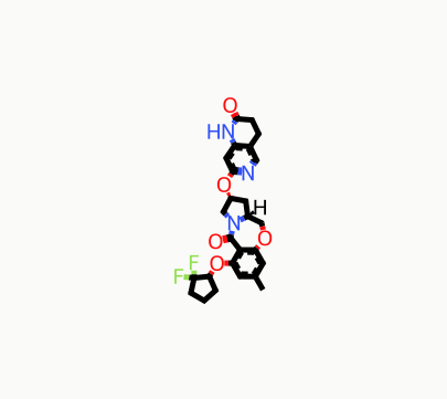 Cc1cc2c(c(OC3CCCC3(F)F)c1)C(=O)N1C[C@@H](Oc3cc4c(cn3)CCC(=O)N4)C[C@@H]1CO2